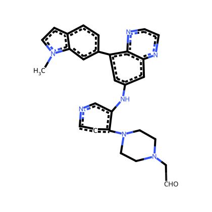 Cn1ccc2ccc(-c3cc(Nc4cnccc4N4CCN(CC=O)CC4)cc4nccnc34)cc21